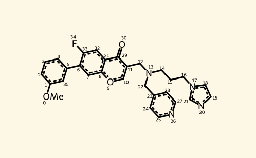 COc1cccc(-c2cc3occ(CN(CCCn4ccnc4)Cc4ccncc4)c(=O)c3cc2F)c1